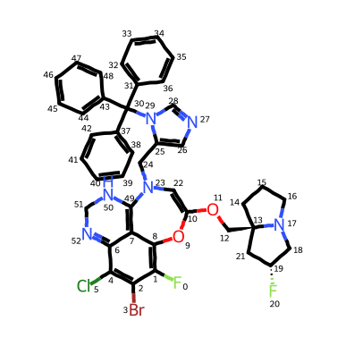 Fc1c(Br)c(Cl)c2c3c1OC(OC[C@@]14CCCN1C[C@H](F)C4)=CN(Cc1cncn1C(c1ccccc1)(c1ccccc1)c1ccccc1)C=3NCN=2